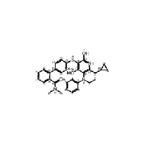 CCN(c1ccccc1)c1c(CC2CC2)nc(O)c(Sc2ccc(-c3ccccc3C(=O)N(C)C)cc2)c1O